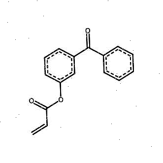 C=CC(=O)Oc1cccc(C(=O)c2ccccc2)c1